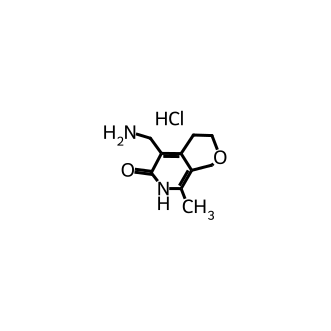 Cc1[nH]c(=O)c(CN)c2c1COCC2.Cl